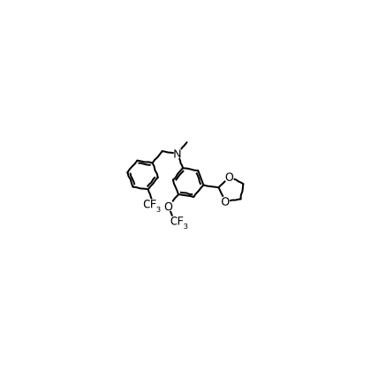 CN(Cc1cccc(C(F)(F)F)c1)c1cc(OC(F)(F)F)cc(C2OCCO2)c1